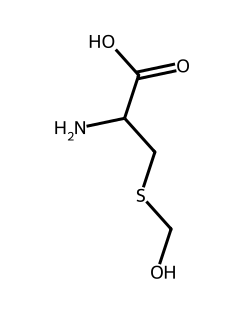 NC(CSCO)C(=O)O